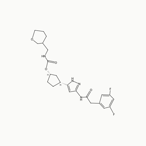 O=C(Cc1cc(F)cc(F)c1)Nc1cc([C@@H]2CC[C@H](OC(=O)NCC3CCCOC3)C2)[nH]n1